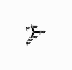 O=C([O-])N(C(=O)[O-])C(=O)[O-].[Na+].[Na+].[Na+]